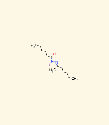 CCCCCC(=O)N(I)/N=C(\C)CCCCC